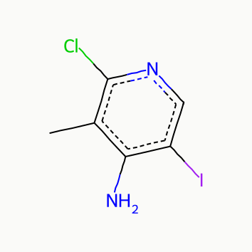 Cc1c(Cl)ncc(I)c1N